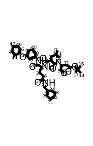 CC(C)CC(C(=O)NC(C=O)CC(=O)OC(C)(C)C)C(=O)NC(CCC(=O)NCc1ccccc1)C(=O)Nc1cccc(Oc2ccccc2)c1